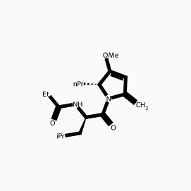 C=C1C=C(OC)[C@@H](CCC)N1C(=O)[C@@H](CC(C)C)NC(=O)CC